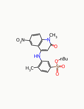 CCCCOS(=O)(=O)c1ccc(C)c(Nc2cc(=O)n(C)c3ccc([N+](=O)[O-])cc23)c1